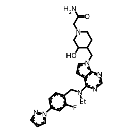 CCN(Cc1ccc(-n2cccn2)cc1F)c1ncnc2c1ccn2CC1CCN(CC(N)=O)CC1O